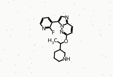 CC(Oc1ccc2ncc(-c3cccnc3F)n2n1)C1CCCNC1